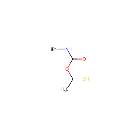 CC(C)NC(=O)OC(C)S